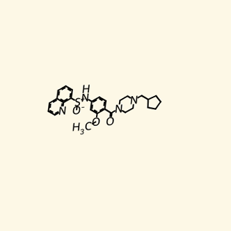 COc1cc(N[S+]([O-])c2cccc3cccnc23)ccc1C(=O)N1CCN(CC2CCCC2)CC1